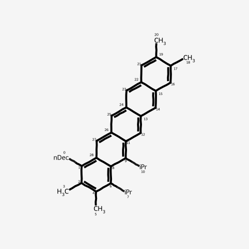 CCCCCCCCCCc1c(C)c(C)c(C(C)C)c2c(C(C)C)c3cc4cc5cc(C)c(C)cc5cc4cc3cc12